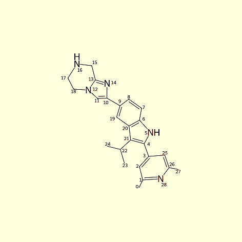 Cc1cc(-c2[nH]c3ccc(-c4cn5c(n4)CNCC5)cc3c2C(C)C)cc(C)n1